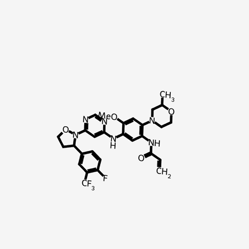 C=CC(=O)Nc1cc(Nc2cc(N3OCCC3c3ccc(F)c(C(F)(F)F)c3)ncn2)c(OC)cc1N1CCOC(C)C1